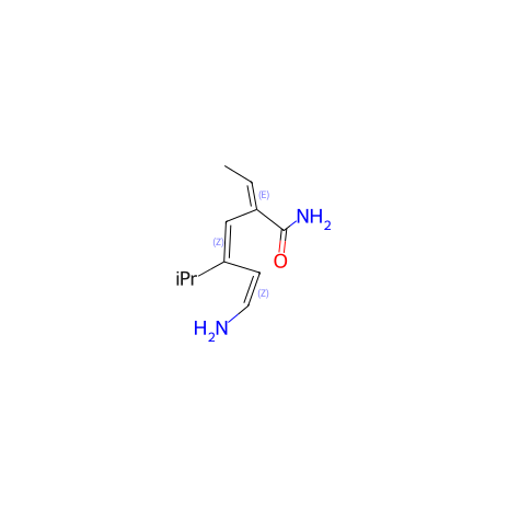 C\C=C(/C=C(\C=C/N)C(C)C)C(N)=O